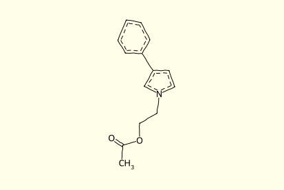 CC(=O)OCCn1ccc(-c2ccccc2)c1